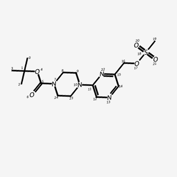 CC(C)(C)OC(=O)N1CCN(c2cncc(COS(C)(=O)=O)n2)CC1